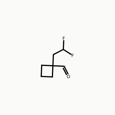 O=[C]C1(CC(F)F)CCC1